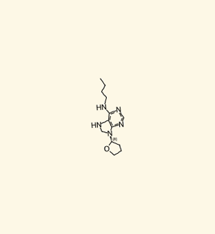 CCCCNc1ncnc2c1NCN2[C@H]1CCCO1